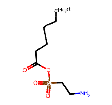 CCCCCCCCCCCC(=O)OS(=O)(=O)CCN